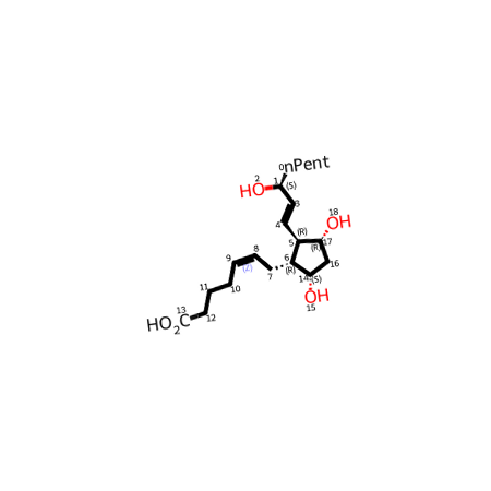 CCCCC[C@H](O)C=C[C@@H]1[C@@H](C/C=C\CCCC(=O)O)[C@@H](O)C[C@H]1O